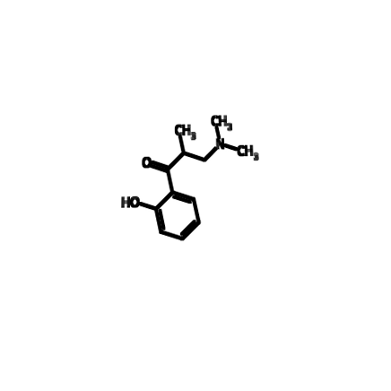 CC(CN(C)C)C(=O)c1ccccc1O